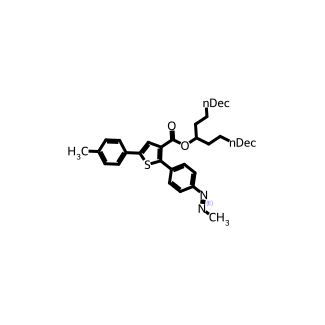 CCCCCCCCCCCCC(CCCCCCCCCCCC)OC(=O)c1cc(-c2ccc(C)cc2)sc1-c1ccc(/N=N/C)cc1